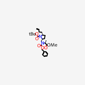 C=CCC[C@H]1CC[C@@H](CN(C(=O)OCc2ccccc2)[C@@H](C)C(=O)OC)N1C(=O)OC(C)(C)C